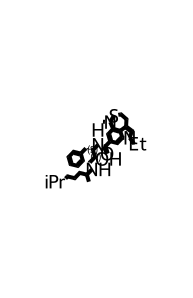 CCn1cc2c3c(cc(C(=O)N[C@@H](Cc4ccccc4)[C@H](O)CNC(C)CCCC(C)C)cc31)N(C)SCC2